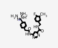 Cc1cc(CNC(=O)c2cc(NC(=O)Cc3ccc(/C(=N/N)NN)cc3)ncn2)ccc1F